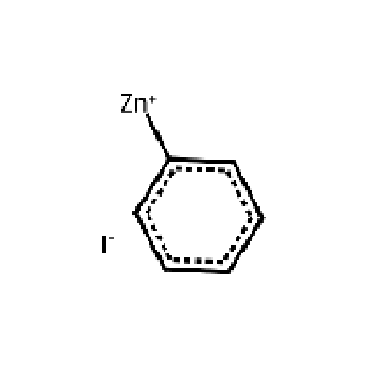 [I-].[Zn+][c]1ccccc1